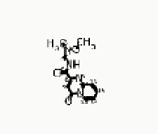 CON(C)CNC(=O)c1cc(=O)n2ccccc2n1